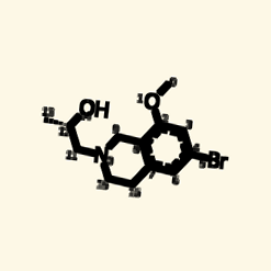 COc1cc(Br)cc2c1CN(C[C@H](C)O)CC2